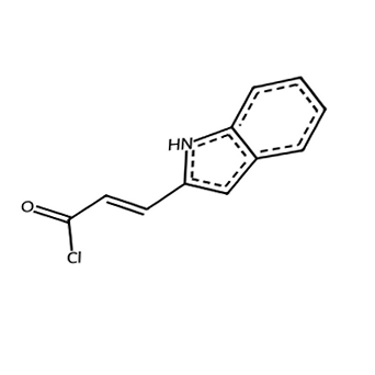 O=C(Cl)C=Cc1cc2ccccc2[nH]1